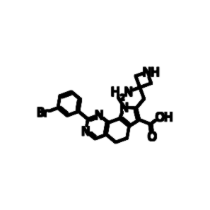 Cn1c(CC2(N)CNC2)c(C(=O)O)c2c1-c1nc(-c3cccc(Br)c3)ncc1CC2